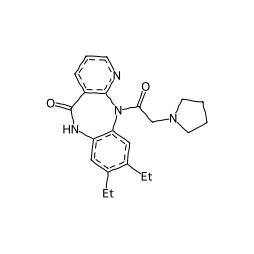 CCc1cc2c(cc1CC)N(C(=O)CN1CCCC1)c1ncccc1C(=O)N2